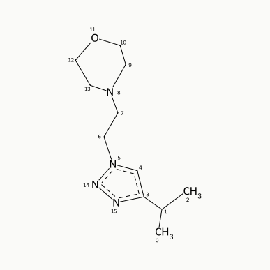 CC(C)c1cn(CCN2CCOCC2)nn1